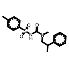 Cc1ccc(S(=O)(=O)NC(=O)N(C)CC(C)c2ccccc2)cc1